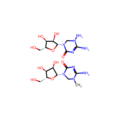 CN1CN([C@@H]2O[C@H](CO)[C@@H](O)[C@H]2O)C(=O)N=C1N.NC1=NC(=O)N([C@@H]2O[C@H](CO)[C@@H](O)[C@H]2O)CN1N